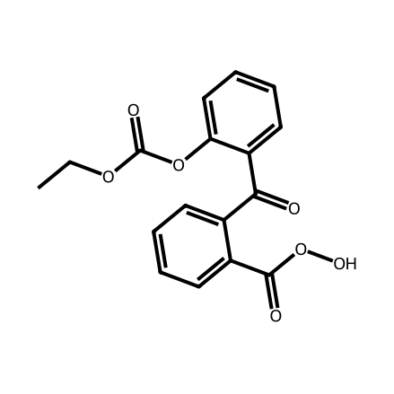 CCOC(=O)Oc1ccccc1C(=O)c1ccccc1C(=O)OO